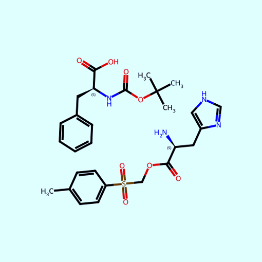 CC(C)(C)OC(=O)N[C@@H](Cc1ccccc1)C(=O)O.Cc1ccc(S(=O)(=O)COC(=O)[C@@H](N)Cc2c[nH]cn2)cc1